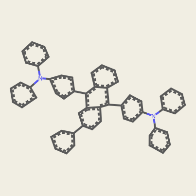 c1ccc(-c2ccc3c(-c4ccc(N(c5ccccc5)c5ccccc5)cc4)c4ccccc4c(-c4ccc(N(c5ccccc5)c5ccccc5)cc4)c3c2)cc1